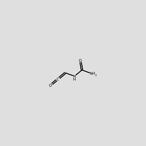 NC(=O)NC=C=O